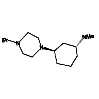 CN[C@@H]1CCC[C@@H](N2CCN(C(C)C)CC2)C1